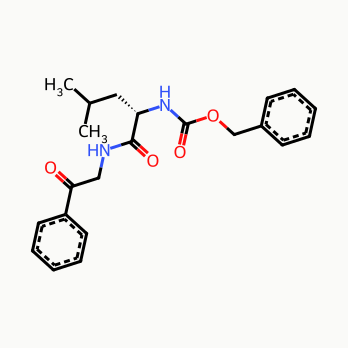 CC(C)C[C@H](NC(=O)OCc1ccccc1)C(=O)NCC(=O)c1ccccc1